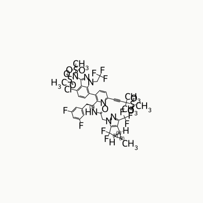 C[C@@H]1[C@@H]2c3c(C(F)(F)F)nn(CC(=O)N[C@@H](Cc4cc(F)cc(F)c4)c4nc(C#CC(C)(C)S(C)(=O)=O)ccc4-c4ccc(Cl)c5c(N(S(C)(=O)=O)S(C)(=O)=O)nn(CC(F)(F)F)c45)c3C(F)(F)[C@H]12